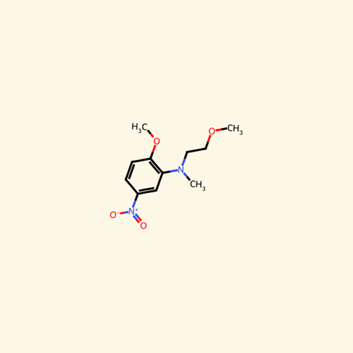 COCCN(C)c1cc([N+](=O)[O-])ccc1OC